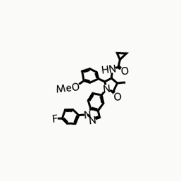 COc1cccc(C2C(NC(=O)C3CC3)C(C)C(=O)N2c2ccc3c(cnn3-c3ccc(F)cc3)c2)c1